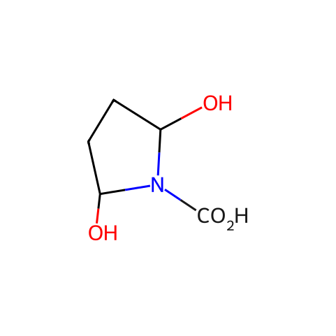 O=C(O)N1C(O)CCC1O